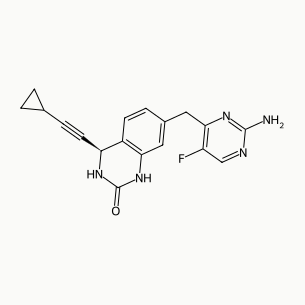 Nc1ncc(F)c(Cc2ccc3c(c2)NC(=O)N[C@H]3C#CC2CC2)n1